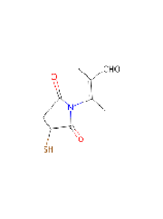 C/C(C=O)=C(/C)N1C(=O)CC(S)C1=O